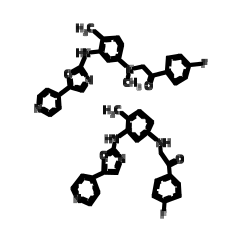 Cc1ccc(N(C)CC(=O)c2ccc(F)cc2)cc1Nc1ncc(-c2ccncc2)o1.Cc1ccc(NCC(=O)c2ccc(F)cc2)cc1Nc1ncc(-c2ccncc2)o1